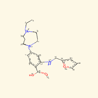 CCN1CCN(c2ccc(C(=O)O)c(NCc3ccco3)c2)CC1